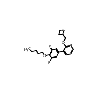 CCCCCOc1c(F)cc(-c2cccnc2OCC2CCC2)cc1F